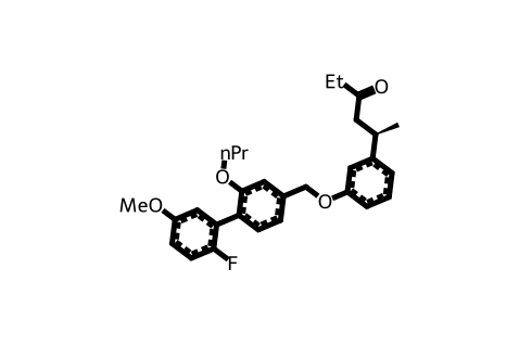 CCCOc1cc(COc2cccc([C@H](C)CC(=O)CC)c2)ccc1-c1cc(OC)ccc1F